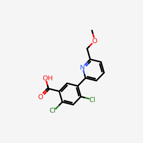 COCc1cccc(-c2cc(C(=O)O)c(Cl)cc2Cl)n1